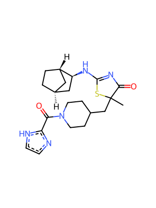 CC1(CC2CCN(C(=O)c3ncc[nH]3)CC2)SC(N[C@H]2C[C@H]3CC[C@H]2C3)=NC1=O